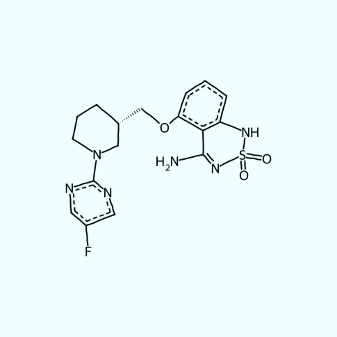 NC1=NS(=O)(=O)Nc2cccc(OC[C@H]3CCCN(c4ncc(F)cn4)C3)c21